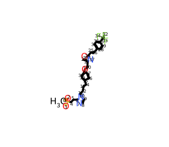 CS(=O)(=O)CCc1nccn1CCCCc1ccc(OCc2coc(C=Cc3ccc(C(F)(F)F)cc3)n2)cc1